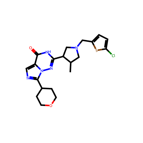 CC1CN(Cc2ccc(Cl)s2)CC1c1nn2c(C3CCOCC3)ncc2c(=O)[nH]1